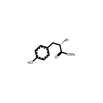 COC(=O)[C@H](Cc1ccc(O)cc1)C(C)C